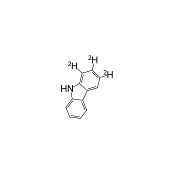 [2H]c1cc2c([nH]c3ccccc32)c([2H])c1[2H]